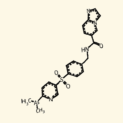 C[As](C)c1ccc(S(=O)(=O)c2ccc(CNC(=O)c3ccc4nccn4c3)cc2)cn1